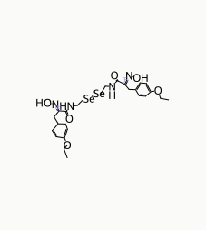 CCOc1ccc(C/C(=N\O)C(=O)NCC[Se][Se]CCNC(=O)/C(Cc2ccc(OCC)cc2)=N/O)cc1